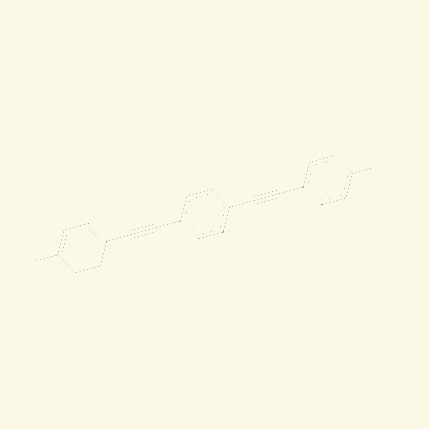 COc1ccc(C#Cc2ccc(C#CC3=CC=C(C)CC3)cc2C)cc1